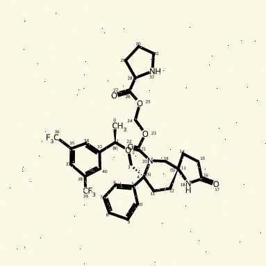 C[C@@H](OC[C@@]1(c2ccccc2)CC[C@]2(CCC(=O)N2)CN1C(=O)OCOC(=O)C1CCCN1)c1cc(C(F)(F)F)cc(C(F)(F)F)c1